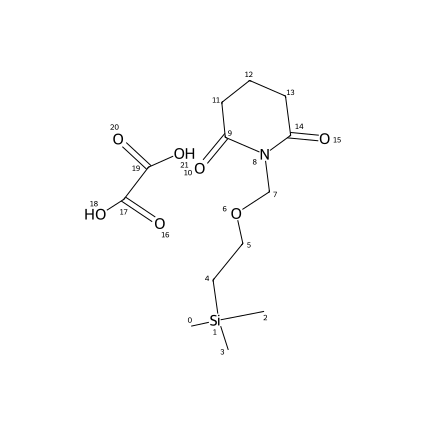 C[Si](C)(C)CCOCN1C(=O)CCCC1=O.O=C(O)C(=O)O